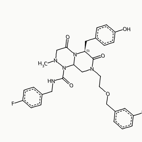 CN1CC(=O)N2C(CN(CCOCc3cccc(F)c3)C(=O)[C@@H]2Cc2ccc(O)cc2)N1C(=O)NCc1ccc(F)cc1